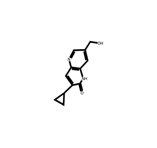 O=c1[nH]c2cc(CO)cnc2cc1C1CC1